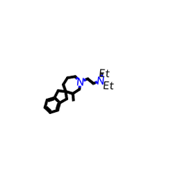 CCN(CC)CCN1CCCC2(Cc3ccccc3C2)C(C)C1